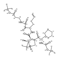 C=CCCC(NC(=O)[C@@H]1[C@@H]2[C@H](CN1C(=O)[C@@H](NC(=O)OC(C)(C)C)C1CCCCC1)C2(C)C)C(=O)C(=O)NCCC(=O)OC(C)(C)C